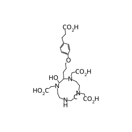 O=C(O)CCc1ccc(OCCCC2C(O)N(CC(=O)O)CCNCCN(CC(=O)O)CCN2CC(=O)O)cc1